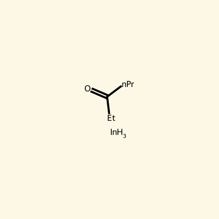 [CH2]CC(=O)CCC.[InH3]